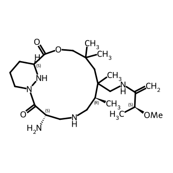 C=C(NCC1(C)CC(C)(C)COC(=O)[C@@H]2CCCN(N2)C(=O)[C@@H](N)CNC[C@@H]1C)[C@H](C)OC